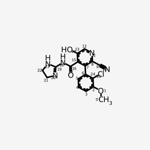 COc1cccc(-c2c(C#N)ncc(O)c2C(=O)NC2=NCCN2)c1Cl